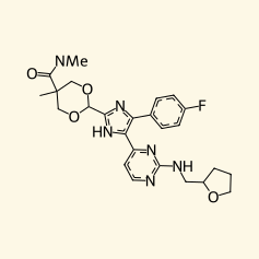 CNC(=O)C1(C)COC(c2nc(-c3ccc(F)cc3)c(-c3ccnc(NCC4CCCO4)n3)[nH]2)OC1